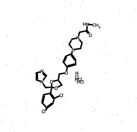 CNC(=O)CN1CCN(c2ccc(OCC3COC(Cn4ccnc4)(c4ccc(Cl)cc4Cl)O3)cc2)CC1.Cl.Cl.Cl